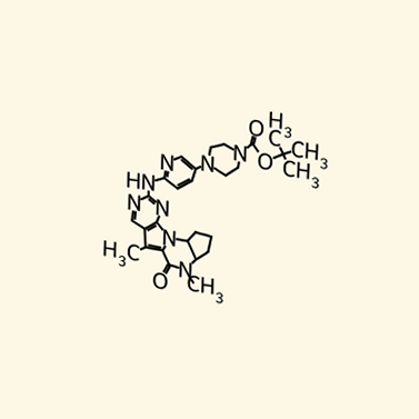 Cc1c2n(c3nc(Nc4ccc(N5CCN(C(=O)OC(C)(C)C)CC5)cn4)ncc13)C1CCCC1N(C)C2=O